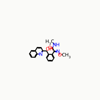 CNC(=O)/C(=N/OC)c1ccccc1C(O)c1ccc2ccccc2n1